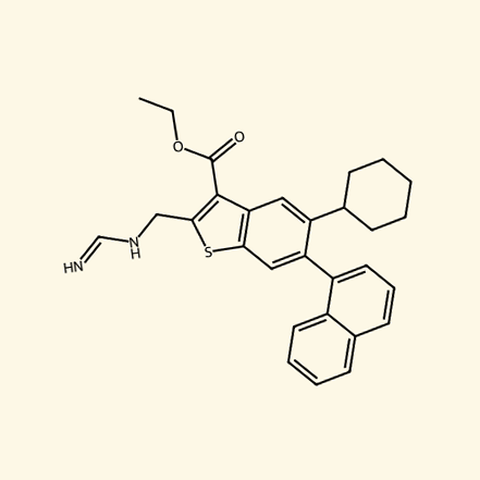 CCOC(=O)c1c(CNC=N)sc2cc(-c3cccc4ccccc34)c(C3CCCCC3)cc12